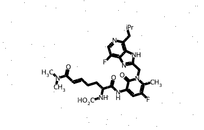 Cc1c(F)cc(NC(=O)C(CCC=CC(=O)N(C)C)NC(=O)O)c(=O)n1Cc1nc2c(F)cnc(CC(C)C)c2[nH]1